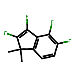 CC1(C)C(F)=C(F)c2c1ccc(F)c2F